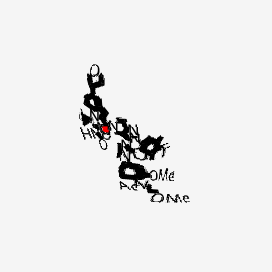 COCCCN(C(C)=O)c1ccc(-n2ccn(-c3c4c(nn3-c3cc(C)c(F)c(C)c3)CCN(C(=O)c3cc5cc(C6CCOCC6)ccc5n3[C@@]3(c5noc(=O)[nH]5)C[C@@H]3C)C4)c2=O)cc1OC